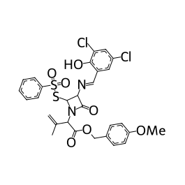 C=C(C)C(C(=O)OCc1ccc(OC)cc1)N1C(=O)C(N=Cc2cc(Cl)cc(Cl)c2O)C1SS(=O)(=O)c1ccccc1